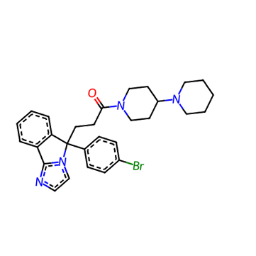 O=C(CCC1(c2ccc(Br)cc2)c2ccccc2-c2nccn21)N1CCC(N2CCCCC2)CC1